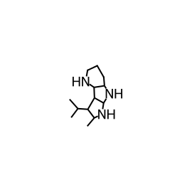 CC(C)C1C(C)NC2NC3CCCNC3C21